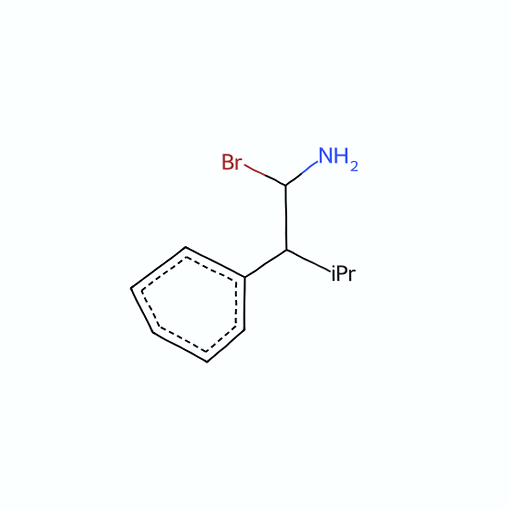 CC(C)C(c1ccccc1)C(N)Br